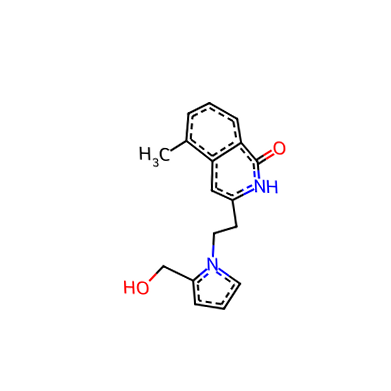 Cc1cccc2c(=O)[nH]c(CCn3cccc3CO)cc12